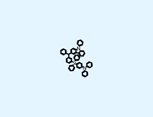 c1ccc(C(c2cccc([Si](c3ccccc3)(c3ccccc3)c3ccc(N(c4ccccc4)c4ccccc4)cc3)c2)c2ccc3c(c2)c2ccccc2n3-c2ccccc2)cc1